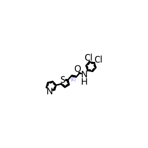 O=C(/C=C/c1ccc(-c2cccnc2)s1)Nc1ccc(Cl)c(Cl)c1